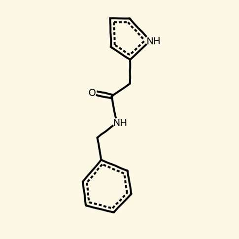 O=C(Cc1ccc[nH]1)NCc1ccccc1